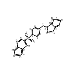 O=S(=O)(c1ccc(Cn2ncc3cccnc32)cc1)c1cnc2ccccc2c1